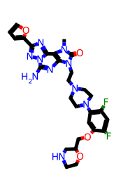 Cn1c(=O)n(CCN2CCN(c3cc(OCC4CNCCO4)c(F)cc3F)CC2)c2nc(N)n3nc(-c4ccco4)nc3c21